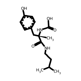 CC(C)CCNC(=O)[C@](C)(Cc1ccc(O)cc1)NC(=O)O